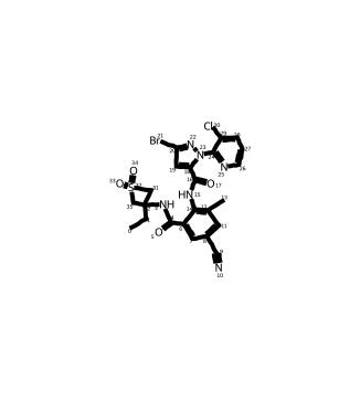 CCC1(NC(=O)c2cc(C#N)cc(C)c2NC(=O)c2cc(Br)nn2-c2ncccc2Cl)CS(=O)(=O)C1